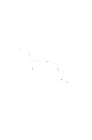 CC(=O)OCC=C(C)CCC=C(C)CCC(=O)C(C)C